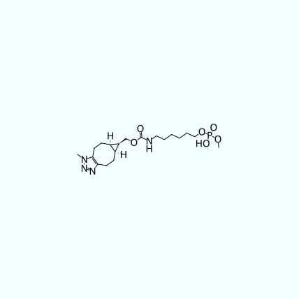 COP(=O)(O)OCCCCCCNC(=O)OC[C@@H]1[C@@H]2CCc3c(nnn3C)CC[C@@H]21